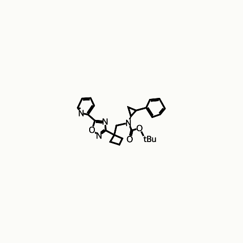 CC(C)(C)OC(=O)N(CC1(c2noc(-c3ccccn3)n2)CCC1)[C@H]1CC1c1ccccc1